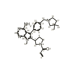 C=CC(=O)N1CCC(c2c(-c3ccc(CN4CCC(C)(C)C4)cc3)c3c(N)ncnc3n2C)C1